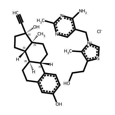 C#C[C@]1(O)CC[C@H]2[C@@H]3CCc4cc(O)ccc4[C@H]3CC[C@@]21C.Cc1ncc(C[n+]2csc(CCO)c2C)c(N)n1.[Cl-]